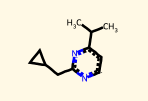 CC(C)c1c[c]nc(CC2CC2)n1